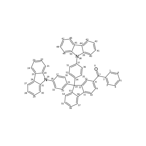 O=C(c1ccccc1)c1ccc2c(c1)C(c1ccc(-n3c4ccccc4c4ccccc43)cc1)(c1ccc(-n3c4ccccc4c4ccccc43)cc1)c1ccccc1-2